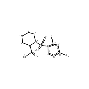 O=C(O)C1COCSN1S(=O)(=O)c1ccc(F)cc1F